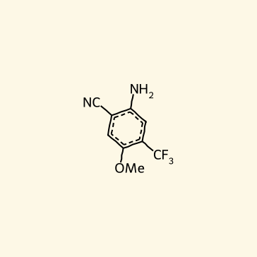 COc1cc(C#N)c(N)cc1C(F)(F)F